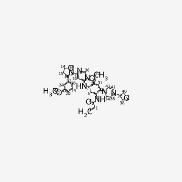 C=CC(=O)Nc1cc(Nc2cc(N3OCC[C@@H]3c3cccc(OC)c3)ncn2)c(OC)cc1N1CCN(C2COC2)CC1